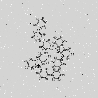 c1ccc(-c2cccc(-c3cc(-c4ccc5c(c4)c4ccccc4n5-c4cccc(-c5ccccc5)c4)cc(-c4cccc5c4sc4c(-c6ccccc6)cccc45)c3)c2)cc1